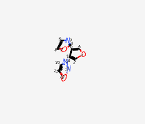 c1ccoc1.c1cocn1.c1conn1